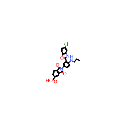 CCCNc1ccc(N2C(=O)c3ccc(C(=O)O)cc3C2=O)cc1-c1nc2cc(Cl)ccc2o1